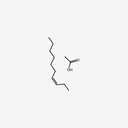 CC(=O)O.CC/C=C\CCCCCC